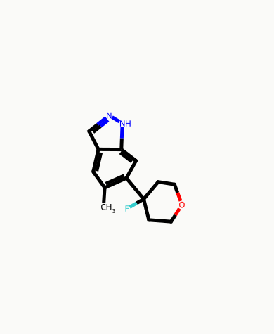 Cc1cc2cn[nH]c2cc1C1(F)CCOCC1